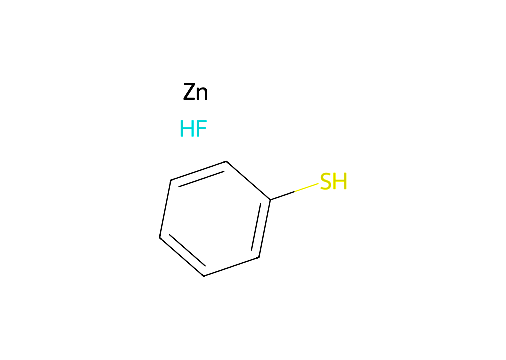 F.Sc1ccccc1.[Zn]